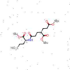 CC(C)(C)OC(=O)CC[C@H](CCC(=O)N[C@@H](CCC(=O)O)C(=O)OC(C)(C)C)C(=O)OC(C)(C)C